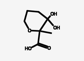 CC1(C(=O)O)OCCCC1(O)O